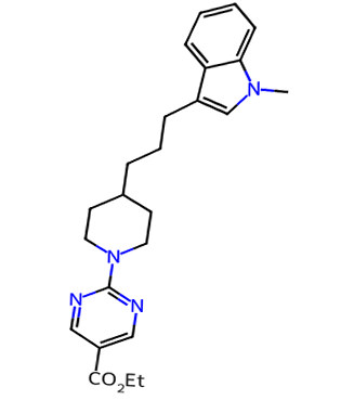 CCOC(=O)c1cnc(N2CCC(CCCc3cn(C)c4ccccc34)CC2)nc1